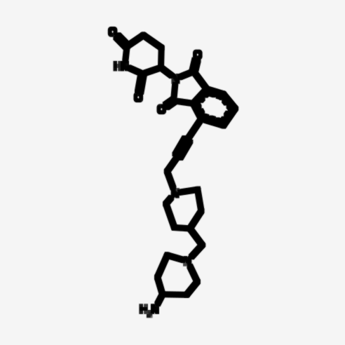 NC1CCN(CC2CCN(CC#Cc3cccc4c3C(=O)N(C3CCC(=O)NC3=O)C4=O)CC2)CC1